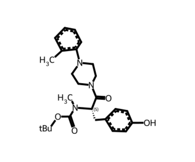 Cc1ccccc1N1CCN(C(=O)[C@H](Cc2ccc(O)cc2)N(C)C(=O)OC(C)(C)C)CC1